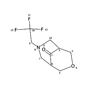 O=C1C2COCC1CN(CC(F)(F)F)C2